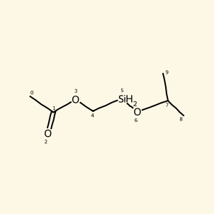 CC(=O)OC[SiH2]OC(C)C